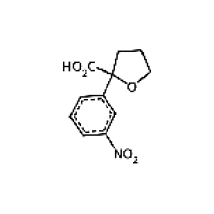 O=C(O)C1(c2cccc([N+](=O)[O-])c2)CCCO1